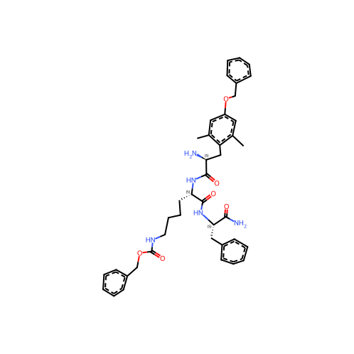 Cc1cc(OCc2ccccc2)cc(C)c1C[C@H](N)C(=O)N[C@@H](CCCCNC(=O)OCc1ccccc1)C(=O)N[C@@H](Cc1ccccc1)C(N)=O